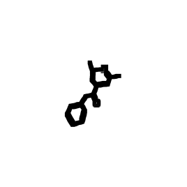 Cc1cc(C(=O)Cc2ccccc2)cc(C)n1